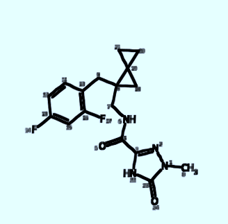 Cn1nc(C(=O)NCC2(Cc3ccc(F)cc3F)CC23CC3)[nH]c1=O